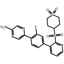 Nc1cnc(-c2ccc(-c3cccnc3S(=O)(=O)C3CCS(=O)(=O)CC3)cc2F)cn1